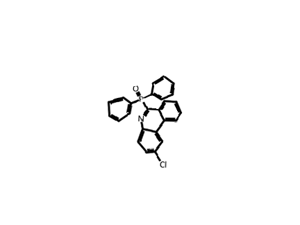 O=P(c1ccccc1)(c1ccccc1)c1nc2ccc(Cl)cc2c2ccccc12